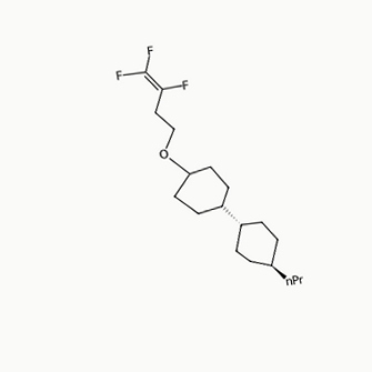 CCC[C@H]1CC[C@H](C2CCC(OCCC(F)=C(F)F)CC2)CC1